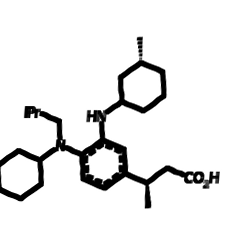 CC(C)CN(c1ccc([C@H](C)CC(=O)O)cc1NC1CCC[C@@H](C)C1)C1CCCCC1